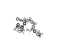 CC(C)n1cnc2cc(-c3ccc4c(c3)N(C3CC(N5CCCCC5)C3)C(=O)C43CCN(C(=O)C4CCN(C(=O)C5CCC(N(C)c6ccc([C@H]7CCC(=O)NC7=O)cn6)CC5)CC4)CC3)nc(Nc3ccccc3F)c21